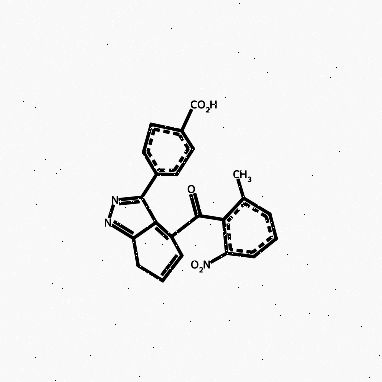 Cc1cccc([N+](=O)[O-])c1C(=O)C1=C2C(=NN=C2c2ccc(C(=O)O)cc2)CC=C1